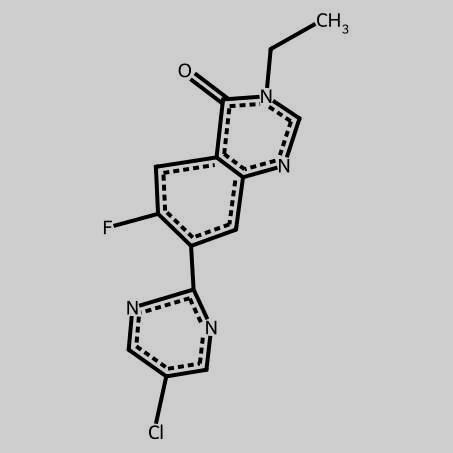 CCn1cnc2cc(-c3ncc(Cl)cn3)c(F)cc2c1=O